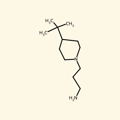 CC(C)(C)C1CCN(CCCN)CC1